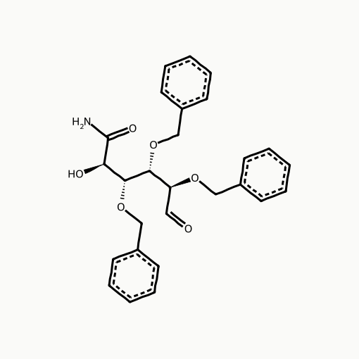 NC(=O)[C@H](O)[C@@H](OCc1ccccc1)[C@H](OCc1ccccc1)[C@H](C=O)OCc1ccccc1